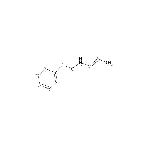 C/C=C/NOCc1ccccc1